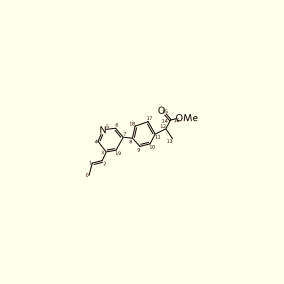 C/C=C/c1cncc(-c2ccc(C(C)C(=O)OC)cc2)c1